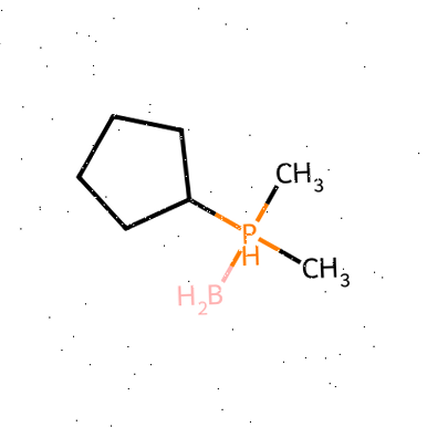 B[PH](C)(C)C1CCCC1